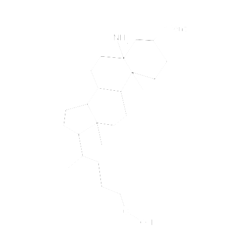 CCCCCC1CCC2(C)C3CCC4(C)C(C(C)CCCOO)CCC4C3CCC2(N)C1